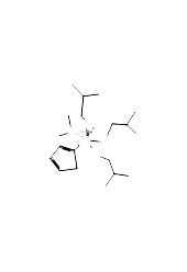 CC(C)C[O][Zr]([O]CC(C)C)([O]CC(C)C)([C]1=CC=CC1)[GeH]([CH3])[CH3]